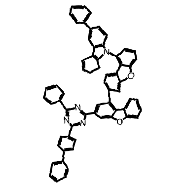 C1=Cc2c(n(-c3cccc4oc5cc(-c6cc(-c7nc(-c8ccccc8)nc(-c8ccc(-c9ccccc9)cc8)n7)cc7oc8ccccc8c67)ccc5c34)c3ccc(-c4ccccc4)cc23)CC1